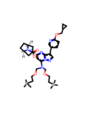 C[Si](C)(C)CCOCN(COCC[Si](C)(C)C)c1cc([C@@H]2C[C@H]3CC[C@@H](C2)N3C(=O)O)nc2c(-c3ccc(OCC4CC4)nc3)cnn12